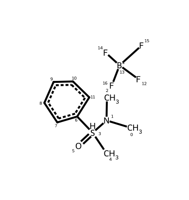 CN(C)[SH](C)(=O)c1ccccc1.F[B-](F)(F)F